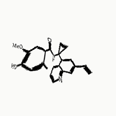 C=Cc1cc(C2(NC(=O)c3cc(OC)c(O)cc3C)CC2)c2cccnc2c1